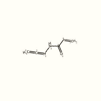 C=C=NNC(=O)C=C